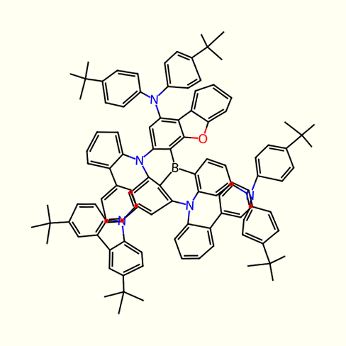 CC(C)(C)c1ccc(N(c2ccc(C(C)(C)C)cc2)c2ccc3c(c2)N(c2ccccc2-c2ccccc2)c2cc(-n4c5ccc(C(C)(C)C)cc5c5cc(C(C)(C)C)ccc54)cc4c2B3c2c(cc(N(c3ccc(C(C)(C)C)cc3)c3ccc(C(C)(C)C)cc3)c3c2oc2ccccc23)N4c2ccccc2-c2ccccc2)cc1